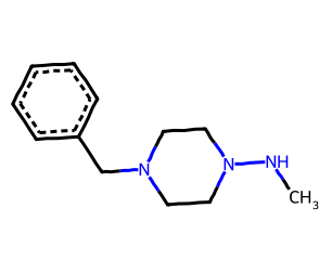 CNN1CCN(Cc2ccccc2)CC1